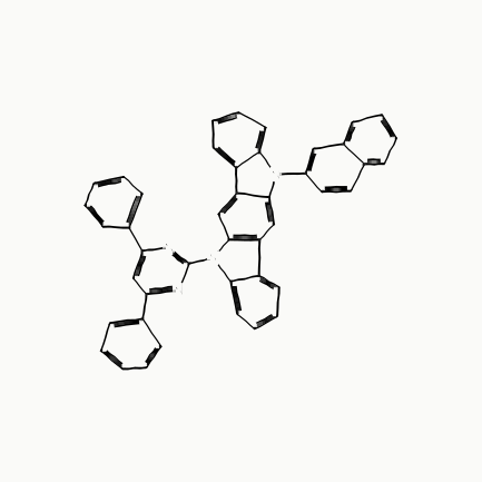 c1ccc(-c2cc(-c3ccccc3)nc(-n3c4ccccc4c4cc5c(cc43)c3ccccc3n5-c3ccc4ccccc4c3)n2)cc1